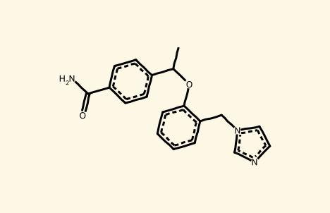 CC(Oc1ccccc1Cn1ccnc1)c1ccc(C(N)=O)cc1